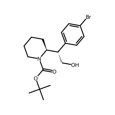 CC(C)(C)OC(=O)N1CCCC[C@H]1[C@@H](CO)c1ccc(Br)cc1